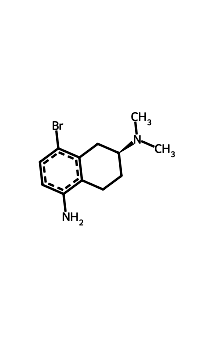 CN(C)[C@H]1CCc2c(N)ccc(Br)c2C1